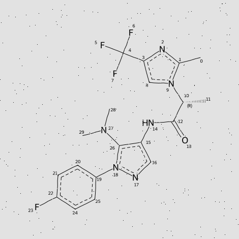 Cc1nc(C(F)(F)F)cn1[C@H](C)C(=O)Nc1cnn(-c2ccc(F)cc2)c1N(C)C